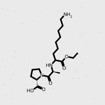 CCOC(=O)C(CCCCCCCN)N[C@@H](C)C(=O)N1CCC[C@H]1C(=O)O